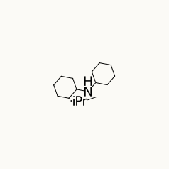 C1CCC(NC2CCCCC2)CC1.C[C](C)C